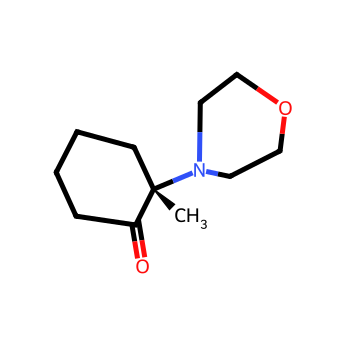 C[C@]1(N2CCOCC2)CCCCC1=O